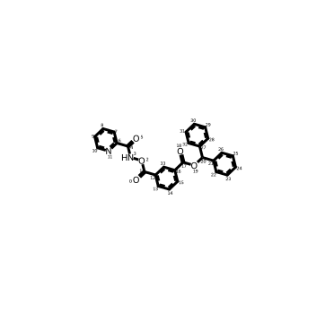 O=C(ONC(=O)c1ccccn1)c1cccc(C(=O)OC(c2ccccc2)c2ccccc2)c1